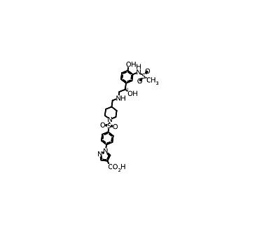 CS(=O)(=O)Nc1cc([C@@H](O)CNCC2CCN(S(=O)(=O)c3ccc(-n4cc(C(=O)O)cn4)cc3)CC2)ccc1O